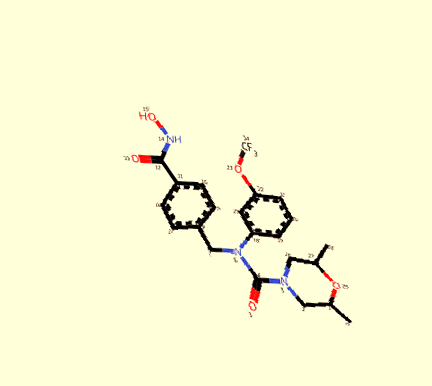 CC1CN(C(=O)N(Cc2ccc(C(=O)NO)cc2)c2cccc(OC(F)(F)F)c2)CC(C)O1